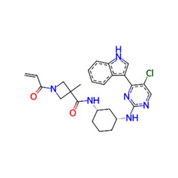 C=CC(=O)N1CC(C)(C(=O)N[C@H]2CCC[C@@H](Nc3ncc(Cl)c(-c4c[nH]c5ccccc45)n3)C2)C1